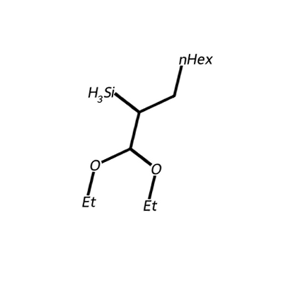 CCCCCCCC([SiH3])C(OCC)OCC